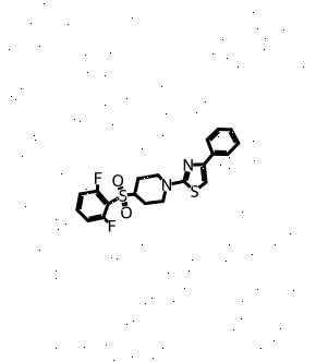 O=S(=O)(c1c(F)cccc1F)C1CCN(c2nc(-c3ccccc3)cs2)CC1